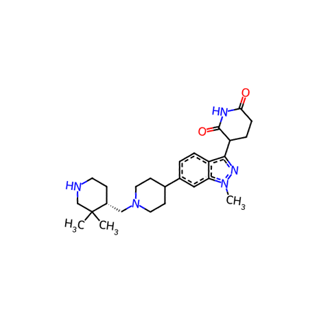 Cn1nc(C2CCC(=O)NC2=O)c2ccc(C3CCN(C[C@H]4CCNCC4(C)C)CC3)cc21